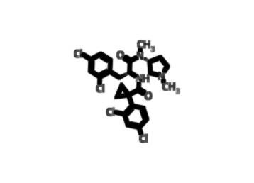 CN1CC[C@@H](N(C)C(=O)[C@H](Cc2ccc(Cl)cc2Cl)NC(=O)C2(c3ccc(Cl)cc3Cl)CC2)C1